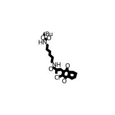 C/C(=C\C1=C(Cl)C(=O)c2ccccc2C1=O)C(=O)NCCCCCCNC(=O)OC(C)(C)C